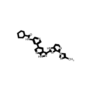 Cc1cn(-c2nccc3[nH]c(-c4n[nH]c5ncc(-c6cncc(NC(=O)C7CCCCC7)c6)cc45)nc23)cn1